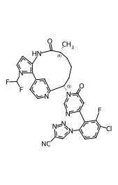 C[C@@H]1CCC[C@H](n2cnc(-c3c(-n4cc(C#N)nn4)ccc(Cl)c3F)cc2=O)c2cc(ccn2)-c2c(ccn2C(F)F)NC1=O